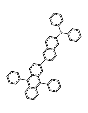 c1ccc(-c2c3ccccc3c(-c3ccccc3)c3cc(-c4ccc5cc(N(c6ccccc6)c6ccccc6)ccc5c4)ccc23)cc1